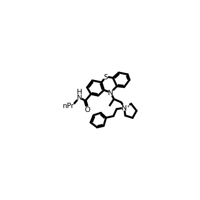 CCCNC(=O)c1ccc2c(c1)N(C(C)C[N+]1(CCc3ccccc3)CCCC1)c1ccccc1S2